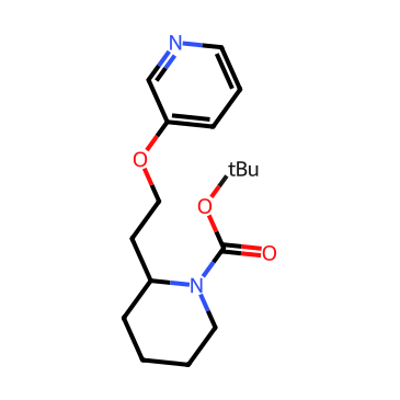 CC(C)(C)OC(=O)N1CCCCC1CCOc1cccnc1